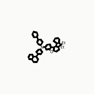 CCC1(CC)c2ccccc2-c2c1ccc1oc3cc(N(c4ccc(-c5ccccc5)cc4)c4ccc(-c5cccc6ccccc56)cc4)ccc3c21